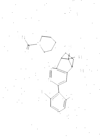 CC1(C)[C@H]2CCC1([C@H]1CCCN(C(N)=O)C1)c1nnc(-c3c(F)cccc3F)cc12